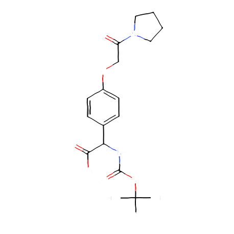 CC(C)(C)OC(=O)NC(C(=O)O)c1ccc(OCC(=O)N2CCCC2)cc1